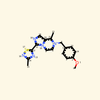 COc1ccc(C[n+]2ccn3c(-c4nc(C)ns4)ncc3c2C)cc1